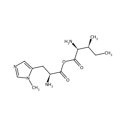 CC[C@H](C)[C@H](N)C(=O)OC(=O)[C@@H](N)Cc1cncn1C